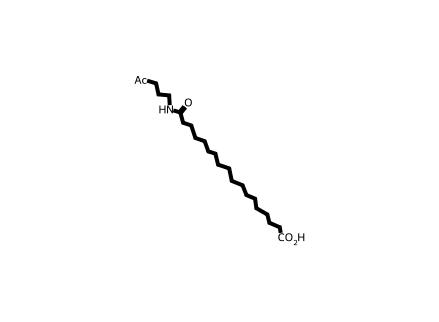 CC(=O)CCCNC(=O)CCCCCCCCCCCCCCCCC(=O)O